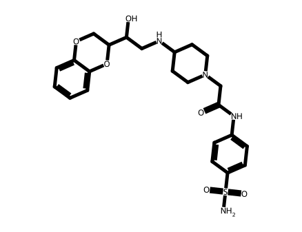 NS(=O)(=O)c1ccc(NC(=O)CN2CCC(NCC(O)C3COc4ccccc4O3)CC2)cc1